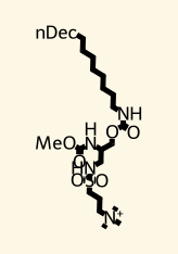 CCCCCCCCCCCCCCCCCCNC(=O)OCC(CNS(=O)(=O)CCC[N+](C)(C)C)NC(=O)OC